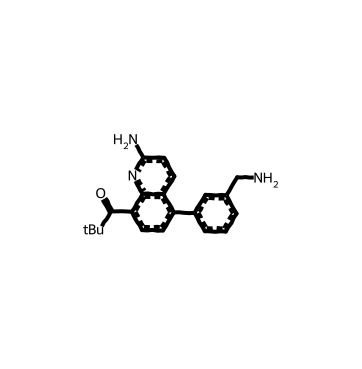 CC(C)(C)C(=O)c1ccc(-c2cccc(CN)c2)c2ccc(N)nc12